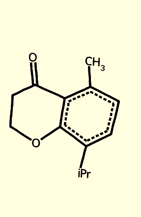 Cc1ccc(C(C)C)c2c1C(=O)CCO2